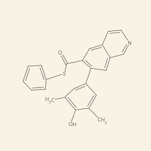 Cc1cc(-c2cc3cnccc3cc2C(=O)Sc2ccccc2)cc(C)c1O